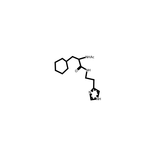 CC(=O)NC(CC1CCCCC1)C(=O)NCCc1c[nH]cn1